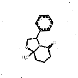 CC12CCCC(=O)N1C(c1ccccc1)CO2